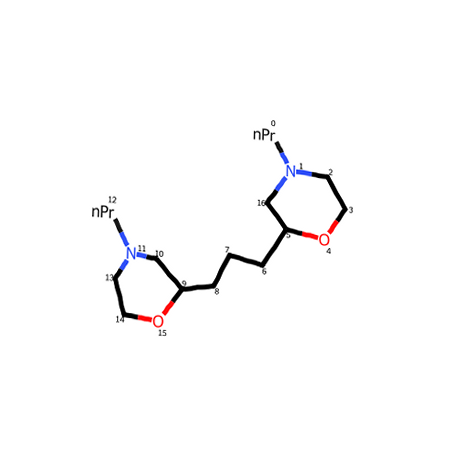 CCCN1CCOC(CCCC2CN(CCC)CCO2)C1